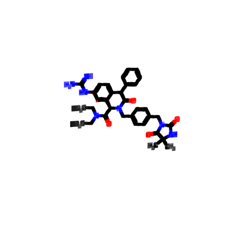 CC1(C)NC(=O)N(Cc2ccc(CN(C(=O)C(c3ccccc3)c3ccccc3)[C@H](CCCNC(=N)N)C(=O)N(CC(=O)O)CC(=O)O)cc2)C1=O